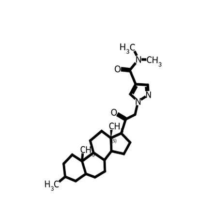 CC1CCC2(C)C(CCC3C2CC[C@]2(C)C(C(=O)Cn4cc(C(=O)N(C)C)cn4)CCC32)C1